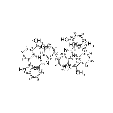 CC(C)c1cccc(C(C)C)c1-n1c(-c2ccccc2)nc2c(-c3cccc4c3nc(-c3ccccc3O)n4-c3c(C(C)C)cccc3C(C)C)cccc21